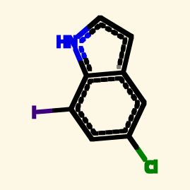 Clc1cc(I)c2[nH]ccc2c1